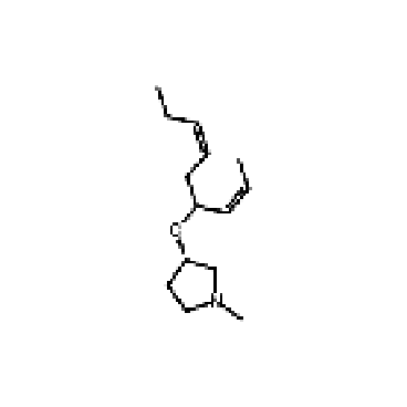 C/C=C\C(C/C=C\CC)O[C@@H]1CCN(C)C1